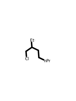 C[CH]C(CCl)CCCCC